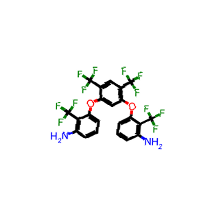 Nc1cccc(Oc2cc(Oc3cccc(N)c3C(F)(F)F)c(C(F)(F)F)cc2C(F)(F)F)c1C(F)(F)F